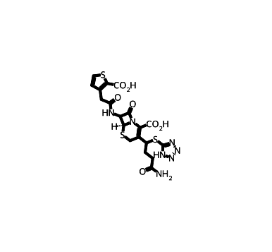 NC(=O)CCC(Sc1nnn[nH]1)C1=C(C(=O)O)N2C(=O)C(NC(=O)Cc3ccsc3C(=O)O)[C@@H]2SC1